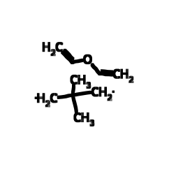 C=COC=C.[CH2]C([CH2])(C)C